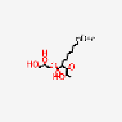 CCCCCCCCCCCCCCCCC(C(=O)OCC(O)CO)C(=O)C(C)O